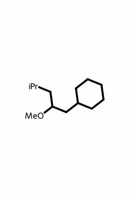 COC(CC(C)C)CC1CCCCC1